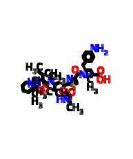 CCNC(=O)O[C@H](CC(C(C)C)N(C)C(=O)[C@@H](NC(=O)[C@]1(C)CCCCN1C)[C@@H](C)CC)c1nc(C(=O)N[C@@H](Cc2ccc(N)cc2)C[C@H](C)C(=O)O)cs1